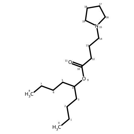 CCCCC(CCCC)OC(=O)CCCN1CCCC1